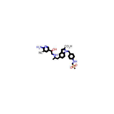 CC(Cc1ccc2c(c1)cc(C(=O)O)n2Cc1ccc(NCS(C)(=O)=O)cc1)NCC(O)c1cnc(N)c(C#N)c1